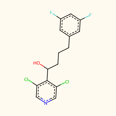 OC(CCCc1cc(F)cc(F)c1)c1c(Cl)cncc1Cl